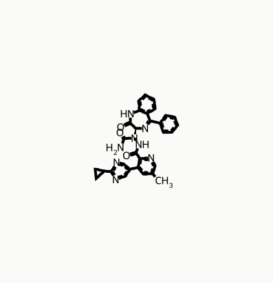 Cc1cnc(C(=O)NN(C(N)=O)[C@@H]2N=C(c3ccccc3)c3ccccc3NC2=O)c(-c2cnc(C3CC3)nc2)c1